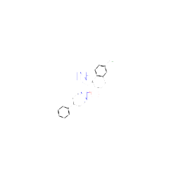 O=C([C@@H]1CNC[C@]12CCCc1cc(CF)ccc12)N1CCC(c2ccccc2)CC1